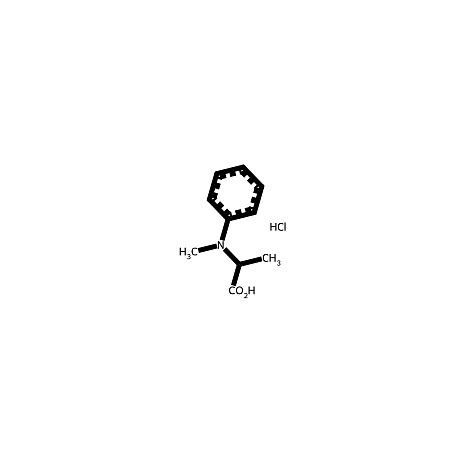 CC(C(=O)O)N(C)c1ccccc1.Cl